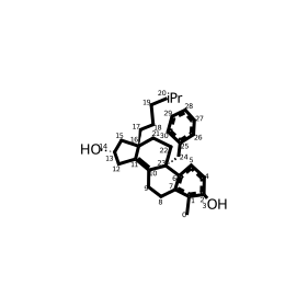 Cc1c(O)ccc2c1CCC1=C3C[C@H](O)C[C@]3(CCCC(C)C)CC[C@]12Cc1ccccc1